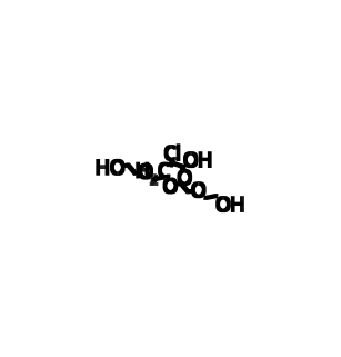 C=C(Cl)C(=O)O.OCCOCCOCCOCCO